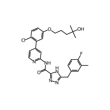 Cc1cc(Cc2nnc(C(=O)Nc3cc(-c4cc(OCCCC(C)(C)O)ccc4Cl)ccn3)[nH]2)ccc1F